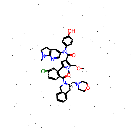 COCc1c(C(=O)N(c2ccc(O)cc2)c2cnc3c(c2)CCN3C)cc(-c2cc(Cl)ccc2C(=O)N2Cc3ccccc3C[C@H]2CN2CCOCC2)n1C